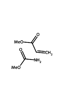 C=CC(=O)OC.COC(N)=O